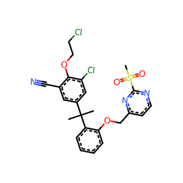 CC(C)(c1cc(Cl)c(OCCCl)c(C#N)c1)c1ccccc1OCc1ccnc(S(C)(=O)=O)n1